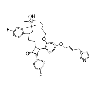 CCCCOc1cc(OC/C=C/Cn2ccnc2)ccc1[C@@H]1C(CC[C@H](CC(C)(C)[Si](C)(C)O)c2ccc(F)cc2)C(=O)N1c1ccc(F)cc1